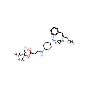 CCC(=Cc1ccccc1)[C@@H]1C[C@H]1N[C@H]1CC[C@@H](NCCC(=O)OC(C)(C)C)CC1